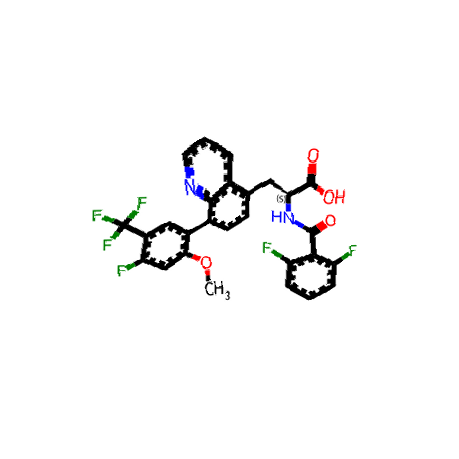 COc1cc(F)c(C(F)(F)F)cc1-c1ccc(C[C@H](NC(=O)c2c(F)cccc2F)C(=O)O)c2cccnc12